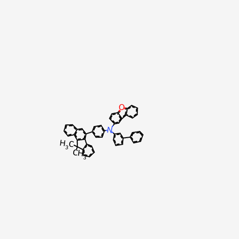 CC1(C)c2ccccc2-c2c(-c3ccc(N(c4cccc(-c5ccccc5)c4)c4ccc5oc6ccccc6c5c4)cc3)cc3ccccc3c21